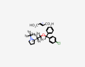 O=C(O)/C=C/C(=O)O.[2H]C([2H])([2H])N1CCC[C@@H]1C([2H])([2H])C([2H])([2H])O[C@](C)(c1ccccc1)c1ccc(Cl)cc1